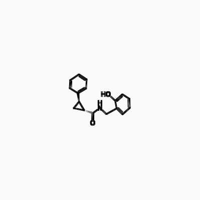 O=C(NCc1ccccc1O)[C@@H]1C[C@H]1c1ccccc1